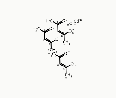 CC(=O)C=C(C)[O-].CC(=O)C=C(C)[O-].CC(=O)C=C(C)[O-].O.[Gd+3]